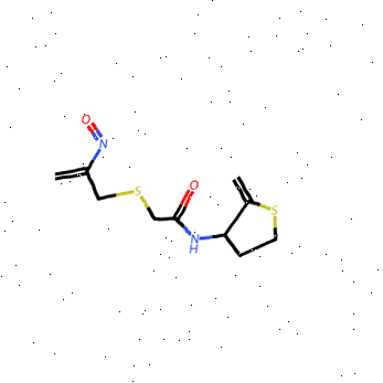 C=C(CSCC(=O)NC1CCSC1=C)N=O